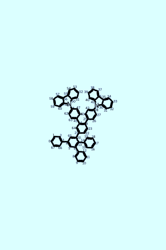 c1ccc(-c2cc(-c3ccccc3)c(-c3ccccc3)c(-c3ccc(-c4ccc(-n5c6ccccc6c6ccccc65)cc4)c(-c4ccc(-n5c6ccccc6c6ccccc65)cc4)c3)c2)cc1